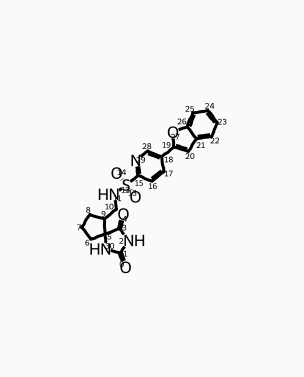 O=C1NC(=O)C2(CCCC2CNS(=O)(=O)c2ccc(-c3cc4ccccc4o3)cn2)N1